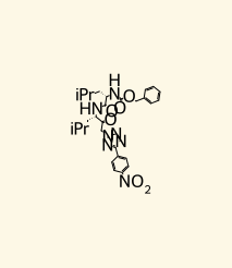 CC(C)C[C@H](NC(=O)[C@H](CC(C)C)NC(=O)OCc1ccccc1)C(=O)Cn1nnc(-c2ccc([N+](=O)[O-])cc2)n1